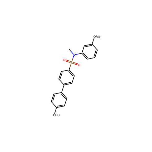 COc1cccc(N(C)S(=O)(=O)c2ccc(-c3ccc(C=O)cc3)cc2)c1